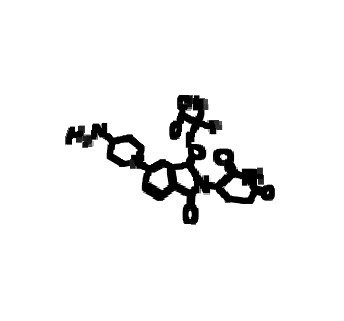 NC1CCN(c2ccc3c(c2)C(=O)N(C2CCC(=O)NC2=O)C3=O)CC1.O=C(O)C(F)(F)F